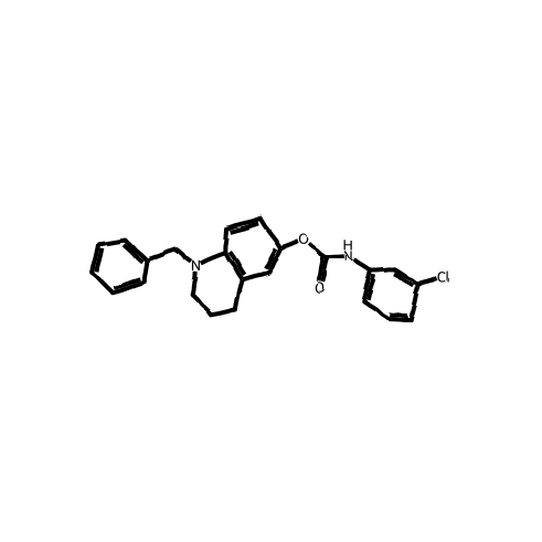 O=C(Nc1cccc(Cl)c1)Oc1ccc2c(c1)CCCN2Cc1ccccc1